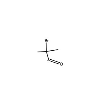 CC(C)(Br)[C]=O